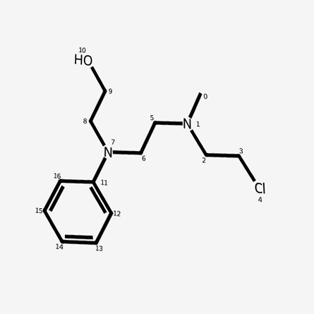 CN(CCCl)CCN(CCO)c1ccccc1